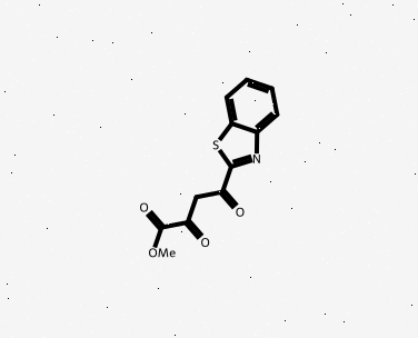 COC(=O)C(=O)CC(=O)c1nc2ccccc2s1